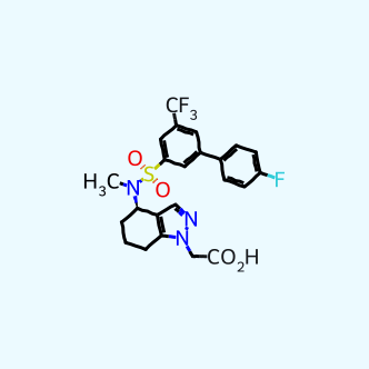 CN([C@@H]1CCCc2c1cnn2CC(=O)O)S(=O)(=O)c1cc(-c2ccc(F)cc2)cc(C(F)(F)F)c1